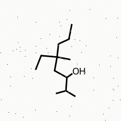 CCCC(C)(CC)CC(O)C(C)C